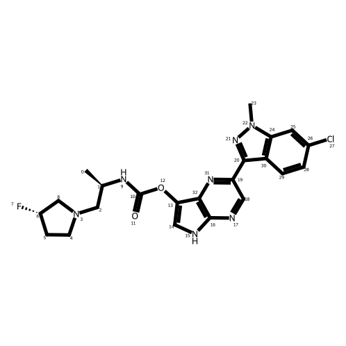 C[C@H](CN1CC[C@H](F)C1)NC(=O)Oc1c[nH]c2ncc(-c3nn(C)c4cc(Cl)ccc34)nc12